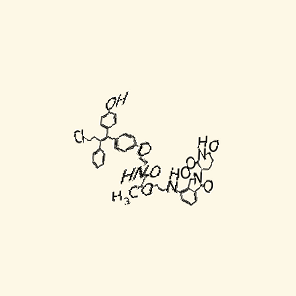 CC(OCCNc1cccc2c1C(=O)N(C1CCC(=O)NC1=O)C2=O)C(=O)NCCOc1ccc(C(=C(CCCl)c2ccccc2)c2ccc(O)cc2)cc1